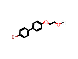 CCOCCOc1ccc(-c2ccc(Br)cc2)cc1